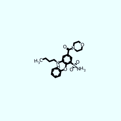 CCCCNc1cc(C(=O)N2CCOCC2)cc(S(N)(=O)=O)c1Oc1ccccc1